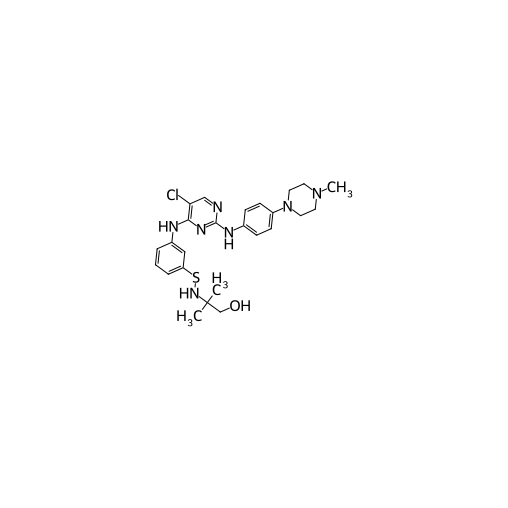 CN1CCN(c2ccc(Nc3ncc(Cl)c(Nc4cccc(SNC(C)(C)CO)c4)n3)cc2)CC1